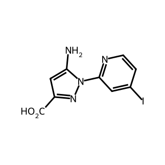 Nc1cc(C(=O)O)nn1-c1cc(I)ccn1